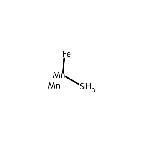 [Mn].[SiH3][Mn][Fe]